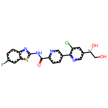 O=C(Nc1nc2ccc(F)cc2s1)c1ccc(-c2ncc([C@H](O)CO)cc2Cl)cn1